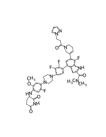 COc1cc(N2CCN(c3ccc(-c4cc(C5=CCCN(C(=O)CCn6cccn6)C5)c(F)c5[nH]c(C(=O)N(C)C)cc45)c(F)c3F)CC2)c(F)cc1N[C@@H]1CCC(=O)NC1=O